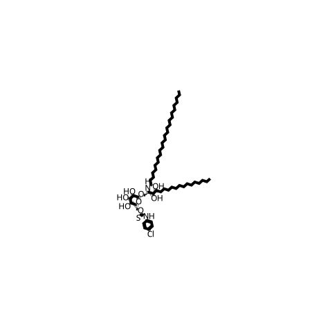 CCCCCCCCCCCCCCCCCCCCCCCCCCN[C@@H](CO[C@H]1O[C@H](COC(=S)Nc2ccc(Cl)cc2)[C@H](O)[C@H](O)[C@H]1O)[C@H](O)[C@H](O)CCCCCCCCCCCCCC